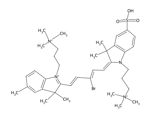 Cc1ccc2c(c1)C(C)(C)C(/C=C/C(Br)=C/C=C1/N(CCC[N+](C)(C)C)c3ccc(S(=O)(=O)O)cc3C1(C)C)=[N+]2CCC[N+](C)(C)C